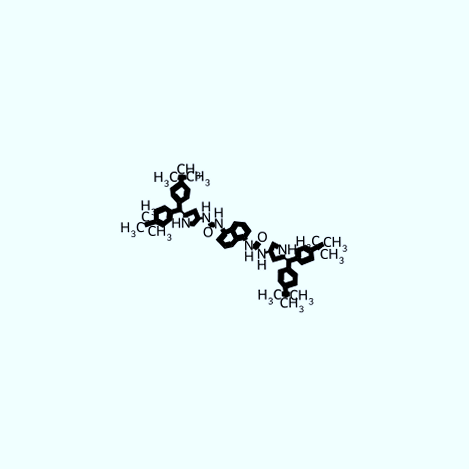 CC(C)(C)c1ccc(C(c2ccc(C(C)(C)C)cc2)[C@H]2C[C@@H](NC(=O)Nc3cccc4c(NC(=O)N[C@H]5CN[C@@H](C(c6ccc(C(C)(C)C)cc6)c6ccc(C(C)(C)C)cc6)C5)cccc34)CN2)cc1